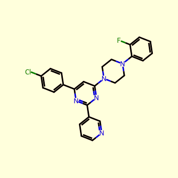 Fc1ccccc1N1CCN(c2cc(-c3ccc(Cl)cc3)nc(-c3cccnc3)n2)CC1